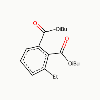 CCc1cccc(C(=O)OCC(C)C)c1C(=O)OCC(C)C